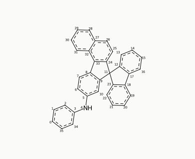 c1ccc(Nc2ccc3c(c2)C2(c4ccccc4-c4ccccc42)c2ccc4ccccc4c2-3)cc1